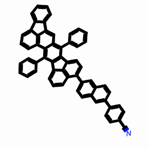 N#Cc1ccc(-c2ccc3cc(-c4ccc5c6c(-c7ccccc7)c7cc8c9ccccc9c9cccc(c7c(-c7ccccc7)c6c6cccc4c56)c98)ccc3c2)cc1